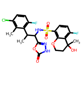 Cc1c(Cl)ccc(F)c1C(C)C(NS(=O)(=O)c1ccc(F)c2c1OCCC2(C)O)c1n[nH]c(=O)o1